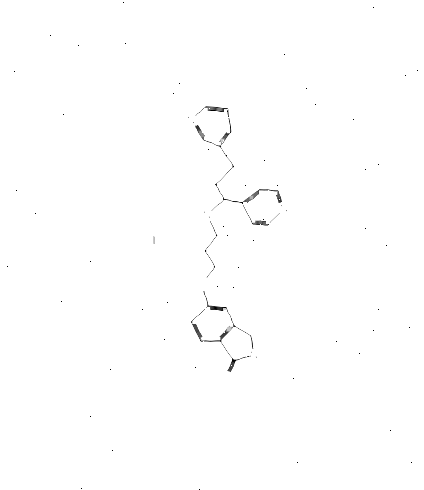 Cl.Cl.Cl.O=C1NCc2cc(OCCCNC(CCc3cccnc3)c3ccncc3)ccc21